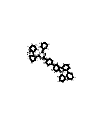 C1=CC(c2cccc3c4cc(-c5ccc(-c6nc(-c7ccccc7)nc(-c7cccc8oc9ccccc9c78)n6)cc5)ccc4n(-c4ccccc4)c23)=CCC1